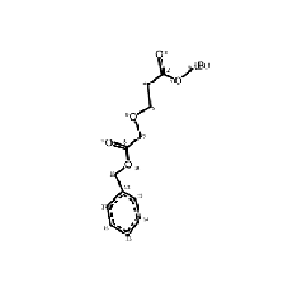 CC(C)(C)OC(=O)CCOCC(=O)OCc1ccccc1